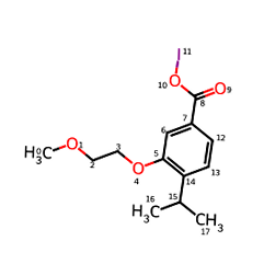 COCCOc1cc(C(=O)OI)ccc1C(C)C